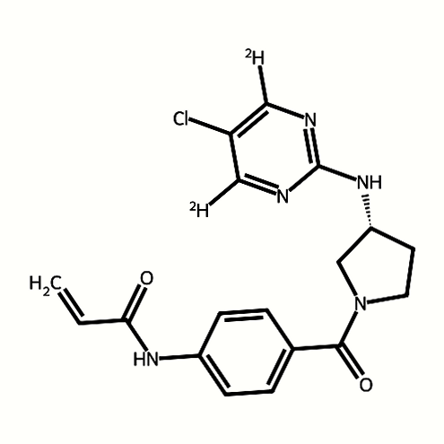 [2H]c1nc(N[C@@H]2CCN(C(=O)c3ccc(NC(=O)C=C)cc3)C2)nc([2H])c1Cl